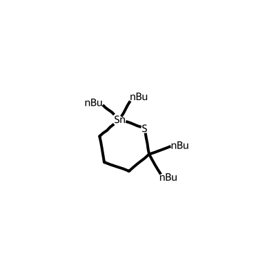 CCCCC1(CCCC)CC[CH2][Sn]([CH2]CCC)([CH2]CCC)[S]1